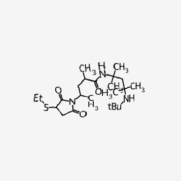 CCSC1CC(=O)N(C(C)CC(C)C(=O)NC(C)(C)CC(C)(C)NC(C)(C)C)C1=O